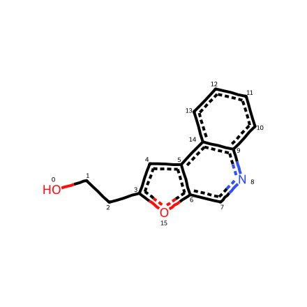 OCCc1cc2c(cnc3ccccc32)o1